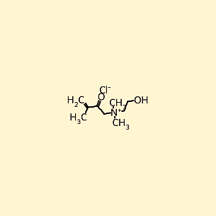 C=C(C)C(=O)C[N+](C)(C)CCO.[Cl-]